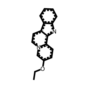 CCOc1ccc2c3nc4ccccc4c-3ccn2c1